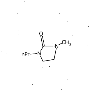 CCCN1CCN(C)C1=O